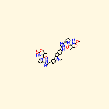 CCn1c2c(c3cc(-c4cnc([C@@H]5CCCN5C(=O)[C@@H](NC(=O)OC)C(C)C)[nH]4)ccc31)Cc1cc(-c3cnc([C@@H]4CCCN4C(=O)[C@@H](NC(=O)OC)C(C)C)[nH]3)ccc1-2